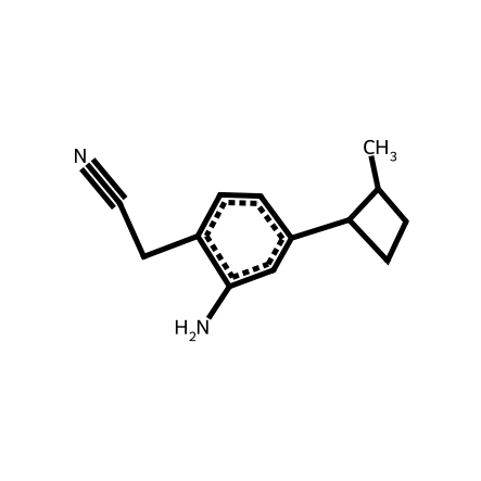 CC1CCC1c1ccc(CC#N)c(N)c1